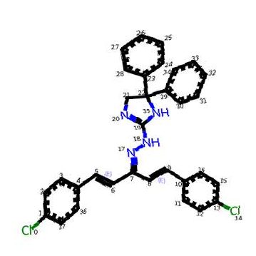 Clc1ccc(/C=C/C(/C=C/c2ccc(Cl)cc2)=NNC2=NCC(c3ccccc3)(c3ccccc3)N2)cc1